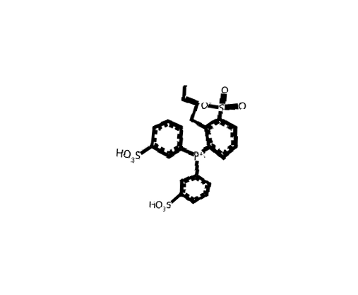 CC=CCc1c([P+](c2cccc(S(=O)(=O)O)c2)c2cccc(S(=O)(=O)O)c2)cccc1S(=O)(=O)[O-]